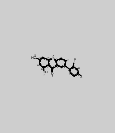 O=c1c2cc(-c3ccc(F)cc3F)ccc2oc2cc(O)cc(O)c12